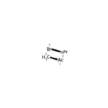 CC(C)=O.CCCBr